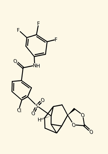 O=C1OC[C@@]2(CC3CCC4C(C42)[C@H]3S(=O)(=O)c2cc(C(=O)Nc3cc(F)c(F)c(F)c3)ccc2Cl)O1